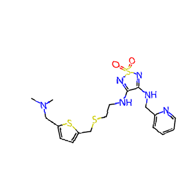 CN(C)Cc1ccc(CSCCNC2=NS(=O)(=O)N=C2NCc2ccccn2)s1